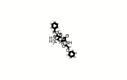 CO[C@@]1(C(=O)OCc2ccccc2)N2C(=O)[C@H](NC(=O)COc3ccccc3)[C@H]2SC1(C)C